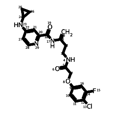 C=C(CCNC(=O)COc1ccc(Cl)c(F)c1)NC(=O)c1cc(NC2CC2)ccn1